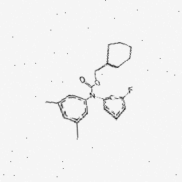 Cc1cc(C)cc(N(C(=O)OCC2CCCCC2)c2cccc(F)c2)c1